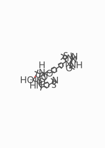 CC(=O)NC1N=C(c2ccc(-c3ccc(OCC(=O)NC(C(=O)N4C[C@H](O)C[C@H]4C(=O)NC(C)c4ccc(-c5scnc5C)cc4)C(C)(C)C)cc3)cc2)c2c(sc(C)c2C)-n2c(C)nnc21